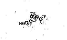 C[C@H]1[C@@H](c2cc(C(F)(F)F)cc(C(F)(F)F)c2)OC(=O)N1Cc1cc(C(F)(F)F)ccc1-c1cc(-c2ccc(O)cc2C(F)(F)F)ccc1Cl